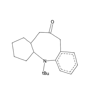 CC(C)(C)N1c2ccccc2CC(=O)CC2CCCCC21